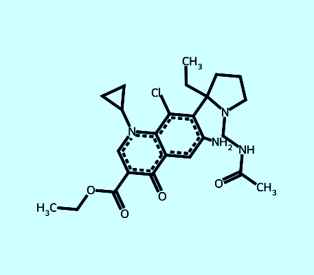 CCOC(=O)c1cn(C2CC2)c2c(Cl)c(C3(CC)CCCN3CNC(C)=O)c(N)cc2c1=O